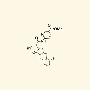 COC(=O)c1ccc(NC(=O)[C@H](CC(C)C)N2CC(Oc3c(F)cccc3F)CC2=O)nc1